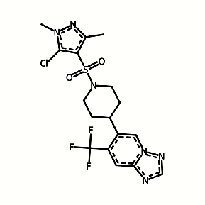 Cc1nn(C)c(Cl)c1S(=O)(=O)N1CCC(c2cn3ncnc3cc2C(F)(F)F)CC1